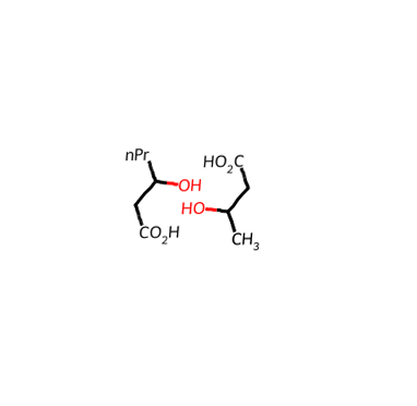 CC(O)CC(=O)O.CCCC(O)CC(=O)O